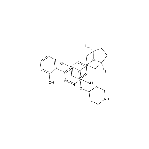 Nc1nnc(-c2ccccc2O)cc1N1C[C@H]2CC[C@@H](C1)N2c1cc(Cl)cc(OC2CCNCC2)c1